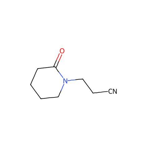 N#CCCN1CCCCC1=O